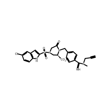 C#CCN(C)C(=N)c1ccc(CN2C(=O)CN(S(=O)(=O)c3cc4cc(Cl)ccc4[nH]3)C[C@@H]2C(=O)O)cc1